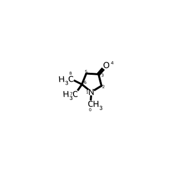 CN1CC(=O)CC1(C)C